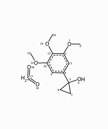 COc1cc(C2(O)CC2)cc(OC)c1OC.O=[SH2]=O